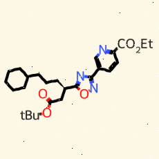 CCOC(=O)c1ccc(-c2noc([C@H](CCCC3CCCCC3)CC(=O)OC(C)(C)C)n2)cn1